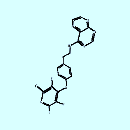 Fc1nc(F)c(F)c(Oc2ccc(CCNc3ncnc4nccnc34)cc2)c1F